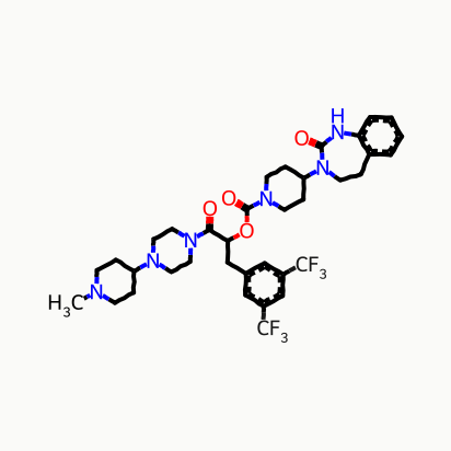 CN1CCC(N2CCN(C(=O)C(Cc3cc(C(F)(F)F)cc(C(F)(F)F)c3)OC(=O)N3CCC(N4CCc5ccccc5NC4=O)CC3)CC2)CC1